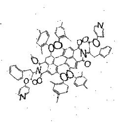 Cc1ccc(Oc2cc3c4c(cc(Oc5ccc(C)cc5C)c5c6c(Oc7ccc(C)cc7C)cc7c8c(cc(Oc9ccc(C)cc9C)c(c2c45)c86)C(=O)N(C(Cc2ccccc2)C(=O)Oc2ccncc2)C7=O)C(=O)N(C(Cc2ccccc2)C(=O)Oc2ccncc2)C3=O)c(C)c1